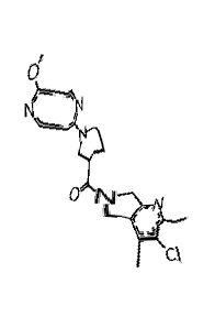 COc1cnc(N2CCC(C(=O)N3Cc4nc(C)c(Cl)c(C)c4C3)C2)cn1